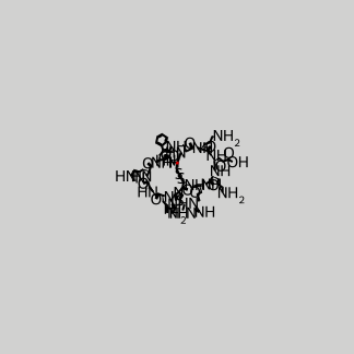 CCSCN1C(=O)N[C@@H](Cc2c[nH]cn2)C(=O)N[C@H](C)C(=O)N[C@@H](Cc2c[nH]cn2)C(=O)N[C@@H](Cc2c[nH]c3ccccc23)C(=O)N[C@H]2CSSC(NC(=O)[C@H](CCCNC(=N)N)NC(=O)[C@H](CCCN)NC(=O)[C@H](CCC(=O)O)NC(=O)[C@H](CCCN)NC(=O)[C@H](C)NC2=O)C1=O